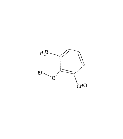 Bc1cccc(C=O)c1OCC